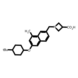 Cc1cc(OC2CCC(C(C)(C)C)CC2)cc2ccc(CN3CC(C(=O)O)C3)cc12